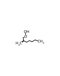 C=C(CCCCC)COO